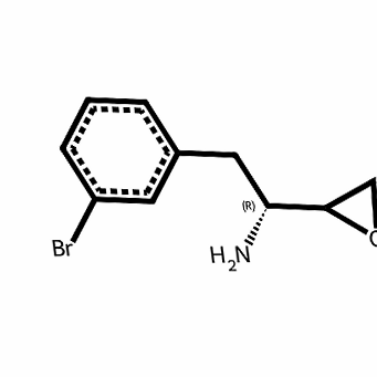 N[C@H](Cc1cccc(Br)c1)C1CO1